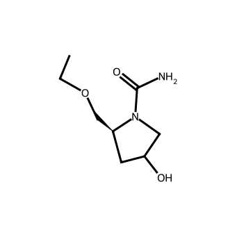 CCOC[C@@H]1CC(O)CN1C(N)=O